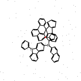 c1ccc(-c2ccc3cccc4c3c2C2(c3ccccc3-c3ccc(N(c5ccc6ccccc6c5)c5ccc6c(c5)c5ccccc5n6-c5ccccc5)cc32)c2ccccc2-4)cc1